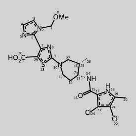 COCn1ccnc1-c1nc(N2CC[C@@H](NC(=O)c3[nH]c(C)c(Cl)c3Cl)[C@@H](C)C2)sc1C(=O)O